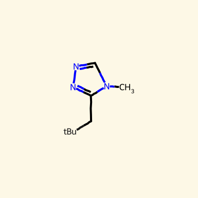 Cn1cnnc1CC(C)(C)C